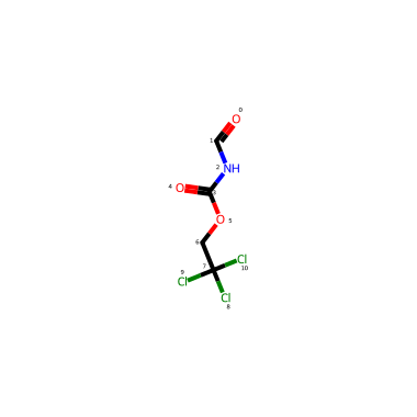 O=[C]NC(=O)OCC(Cl)(Cl)Cl